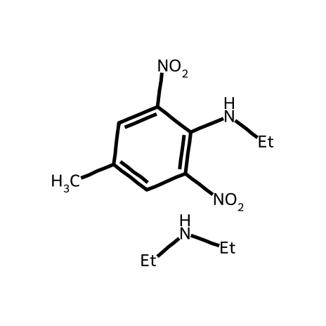 CCNCC.CCNc1c([N+](=O)[O-])cc(C)cc1[N+](=O)[O-]